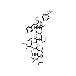 CC[C@H](C)C([C@@H](CC(=O)N1CCC[C@H]1[C@H](OC)[C@@H](C)C(=O)NC(Cc1ccccc1)C(=O)Nc1ccc(NC)cc1)OC)N(C)C(=O)[C@@H](NC(=O)[C@H](C(C)C)N(C)C)C(C)C